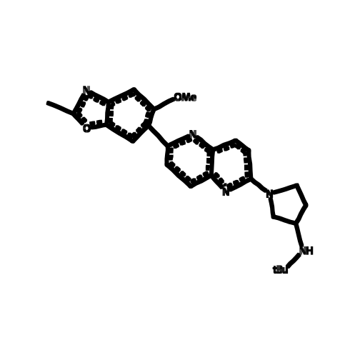 COc1cc2nc(C)oc2cc1-c1ccc2nc(N3CCC(NC(C)(C)C)C3)ccc2n1